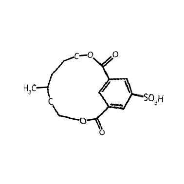 CC1CCCOC(=O)c2cc(cc(S(=O)(=O)O)c2)C(=O)OCC1